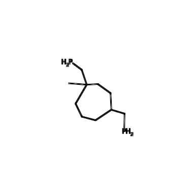 CC1(CP)CCCC(CP)CC1